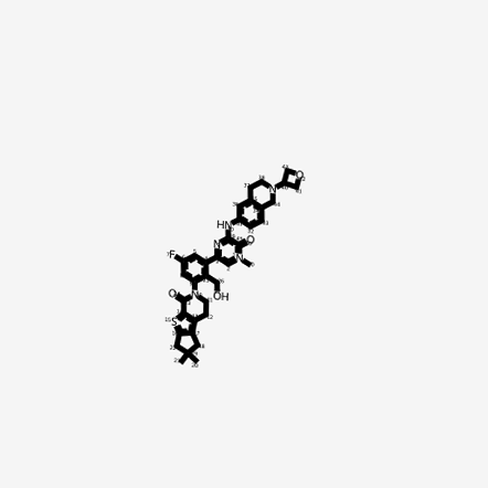 Cn1cc(-c2cc(F)cc(N3CCc4c(sc5c4CC(C)(C)C5)C3=O)c2CO)nc(Nc2ccc3c(c2)CCN(C2COC2)C3)c1=O